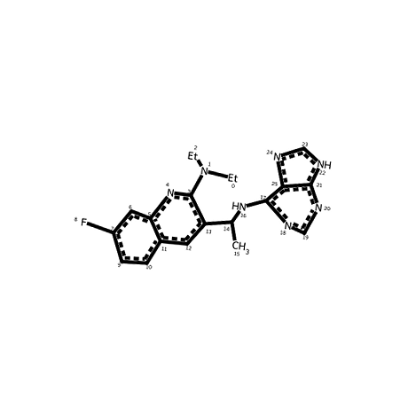 CCN(CC)c1nc2cc(F)ccc2cc1C(C)Nc1ncnc2[nH]cnc12